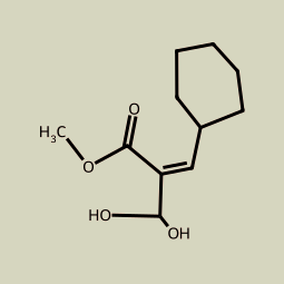 COC(=O)C(=CC1CCCCC1)C(O)O